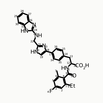 CCc1cc(F)cc(C)c1C(=O)NC(Cc1ccc(-c2c[nH]c(CNc3nc4ccccc4[nH]3)n2)cc1)C(=O)O